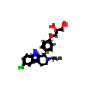 CCOC(=O)N1CCc2c([nH]c3ccc(Cl)cc23)[C@@H]1c1ccc(OC[C@H](O)CO)cc1